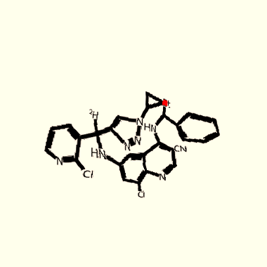 [2H]C(Nc1cc(Cl)c2ncc(C#N)c(NC(CC)c3ccccc3)c2c1)(c1cn(C2CC2)nn1)c1cccnc1Cl